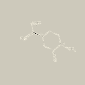 C=C(C(=O)OCC)[C@H]1CC[C@H](C)C(=O)C1